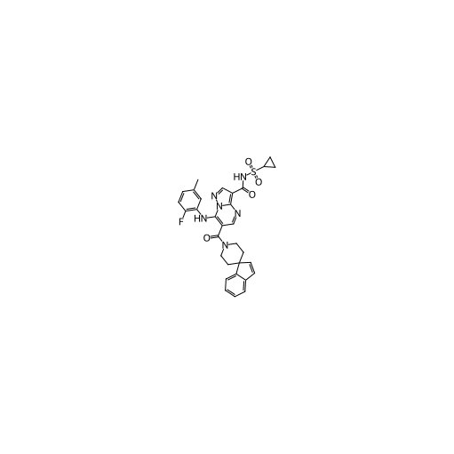 Cc1ccc(F)c(Nc2c(C(=O)N3CCC4(C=Cc5ccccc54)CC3)cnc3c(C(=O)NS(=O)(=O)C4CC4)cnn23)c1